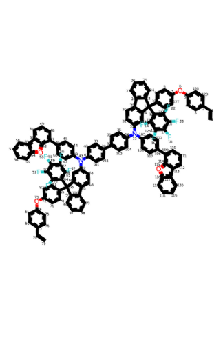 C=Cc1ccc(Oc2ccc(C3(c4c(F)c(F)c(F)c(F)c4F)c4ccccc4-c4ccc(N(c5ccc(-c6ccc(N(c7ccc(-c8cccc9c8oc8ccccc89)cc7)c7ccc8c(c7)C(c7ccc(Oc9ccc(C=C)cc9)cc7)(c7c(F)c(F)c(F)c(F)c7F)c7ccccc7-8)cc6)cc5)c5ccc(-c6cccc7c6oc6ccccc67)cc5)cc43)cc2)cc1